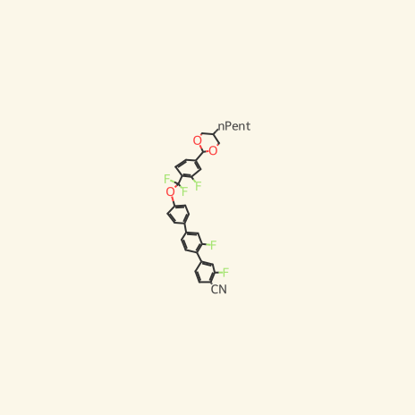 CCCCCC1COC(c2ccc(C(F)(F)Oc3ccc(-c4ccc(-c5ccc(C#N)c(F)c5)c(F)c4)cc3)c(F)c2)OC1